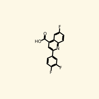 O=C(O)c1cc(-c2ccc(F)c(F)c2)nc2ccc(F)cc12